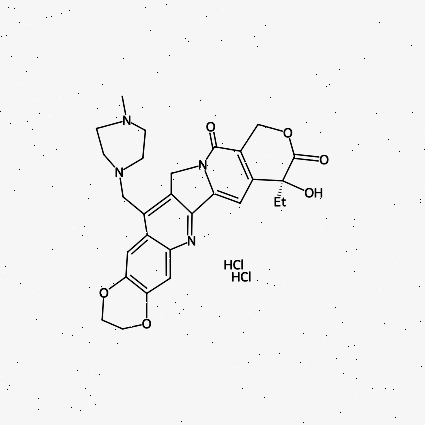 CC[C@@]1(O)C(=O)OCc2c1cc1n(c2=O)Cc2c-1nc1cc3c(cc1c2CN1CCN(C)CC1)OCCO3.Cl.Cl